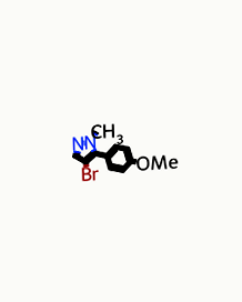 COc1ccc(-c2c(Br)cnn2C)cc1